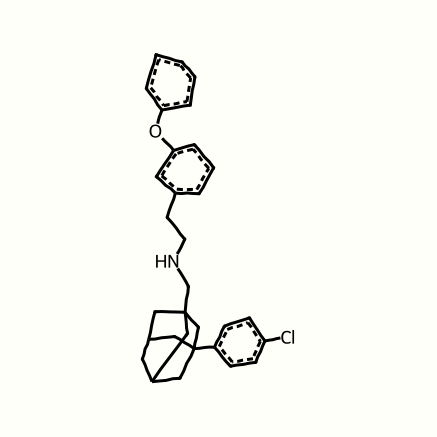 Clc1ccc(C23CC4CC(CC(CNCCc5cccc(Oc6ccccc6)c5)(C4)C2)C3)cc1